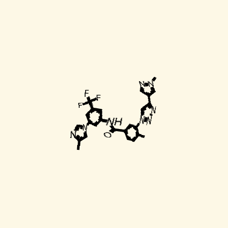 Cc1cn(-c2cc(NC(=O)c3ccc(C)c(-n4cc(-c5cnn(C)c5)nn4)c3)cc(C(F)(F)F)c2)cn1